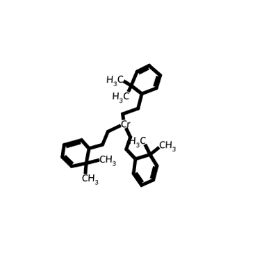 CC1(C)C=CC=CC1C[CH2][Cr]([CH2]CC1C=CC=CC1(C)C)[CH2]CC1C=CC=CC1(C)C